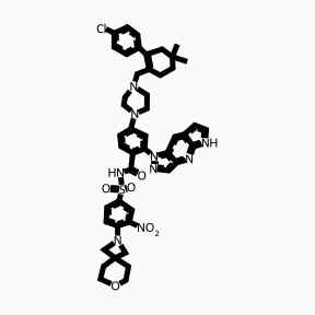 CC1(C)CCC(CN2CCN(c3ccc(C(=O)NS(=O)(=O)c4ccc(N5CC6(CCOCC6)C5)c([N+](=O)[O-])c4)c(-n4ncc5nc6[nH]ccc6cc54)c3)CC2)=C(c2ccc(Cl)cc2)C1